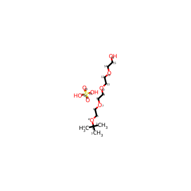 CC(C)(C)OCCOCCOCCOCCO.O=S(=O)(O)O